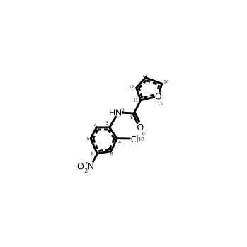 O=C(Nc1ccc([N+](=O)[O-])cc1Cl)c1ccco1